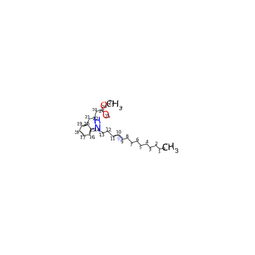 CCCCCCCCC/C=C/CCCNc1ccccc1CCCC(=O)OC